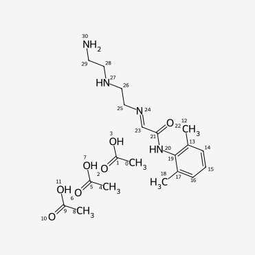 CC(=O)O.CC(=O)O.CC(=O)O.Cc1cccc(C)c1NC(=O)C=NCCNCCN